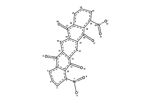 O=c1c2cccc([N+](=O)[O-])c2c(=O)c2sc3c(=O)c4c([N+](=O)[O-])cccc4c(=O)c3sc12